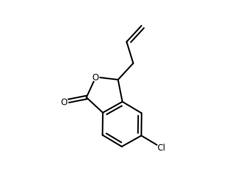 C=CCC1OC(=O)c2ccc(Cl)cc21